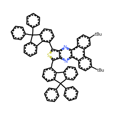 CC(C)(C)c1ccc2c(c1)c1cc(C(C)(C)C)ccc1c1nc3c(-c4cccc5c4-c4ccccc4C5(c4ccccc4)c4ccccc4)sc(-c4cccc5c4-c4ccccc4C5(c4ccccc4)c4ccccc4)c3nc21